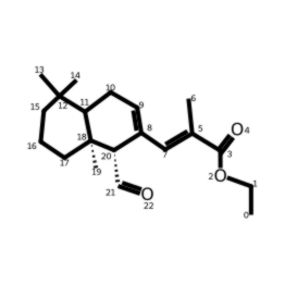 CCOC(=O)/C(C)=C/C1=CCC2C(C)(C)CCC[C@]2(C)[C@H]1C=O